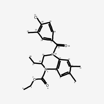 CCOC(=O)N1c2cc(C)c(C)cc2N(C(=O)c2ccc(Cl)c(C)c2)CC1CC